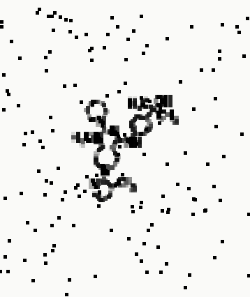 CN1C(N2CCCCC2)=NC(Nc2ccc(C(C)(C)O)cc2)=C2CCN(c3ncccc3C(F)(F)F)CCC21